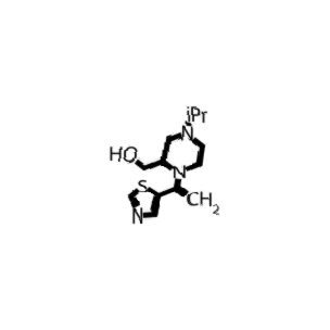 C=C(c1cncs1)N1CCN(C(C)C)CC1CO